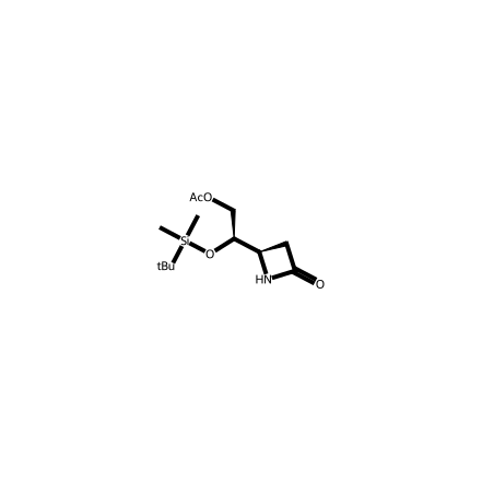 CC(=O)OC[C@H](O[Si](C)(C)C(C)(C)C)[C@H]1CC(=O)N1